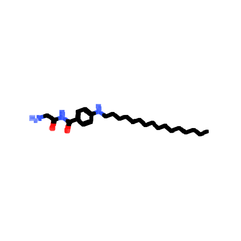 CCCCCCCCCCCCCCCCNc1ccc(C(=O)NC(=O)CN)cc1